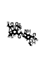 CCOc1cc2c(cc1C(=O)NC)C(=N)N(CC(=O)c1ccc(OC(CC)C(=O)OC(=O)C(F)(F)F)c(C(C)(C)C)c1)C2